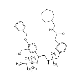 CC(C)(Cc1cccc(CC(=O)NCC2CCCCCC2)c1)NC[C@@H](O[Si](C)(C)C(C)(C)C)c1ccc(OCc2ccccc2)c(CO)c1